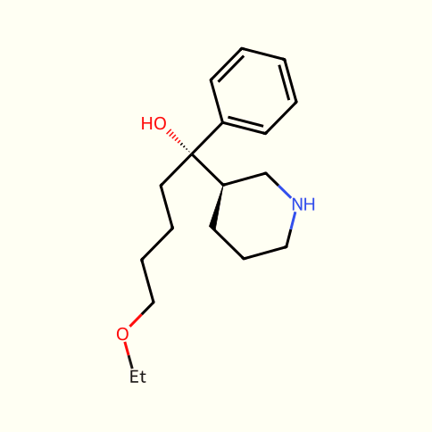 CCOCCCC[C@@](O)(c1ccccc1)[C@@H]1CCCNC1